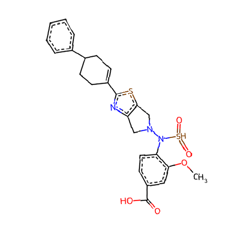 COc1cc(C(=O)O)ccc1N(N1Cc2nc(C3=CCC(c4ccccc4)CC3)sc2C1)[SH](=O)=O